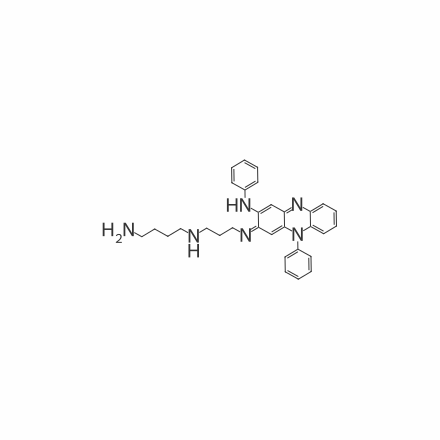 NCCCCNCCC/N=c1/cc2n(-c3ccccc3)c3ccccc3nc-2cc1Nc1ccccc1